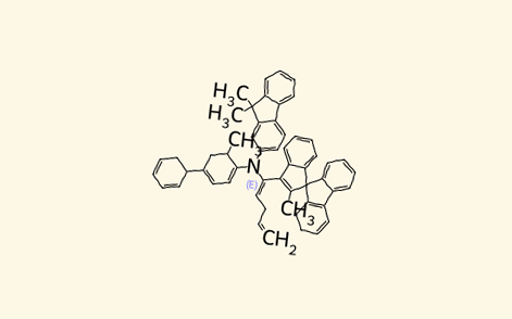 C=CC/C=C(\C1=C(C)C2(C3=C(C=CCC3)c3ccccc32)c2ccccc21)N(C1=CC=C(C2C=CC=CC2)CC1C)c1ccc2c(c1)C(C)(C)c1ccccc1-2